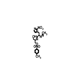 C/N=N\C(/C=N/C(CO)COS(=O)(=O)c1ccc(C)cc1)Cn1ccnc1[N+](=O)[O-]